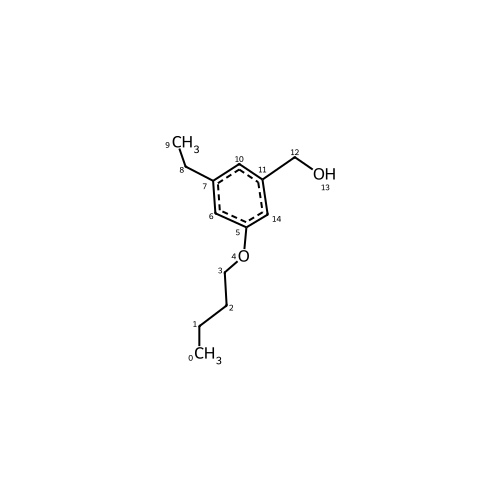 CCCCOc1cc(CC)cc(CO)c1